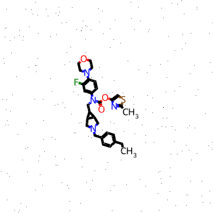 CCc1ccc(CN2CC3C(C2)C3CN(C(=O)Oc2csc(C)n2)c2ccc(N3CCOCC3)c(F)c2)cc1